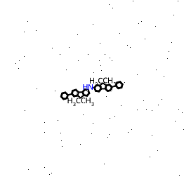 CC1(C)c2ccc(Nc3ccc4c(c3)C(C)(C)c3cc(-c5ccccc5)ccc3-4)cc2-c2ccc(-c3ccccc3)cc21